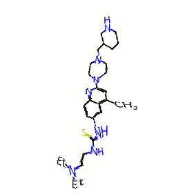 CCN(CC)CCNC(=S)Nc1ccc2nc(N3CCN(CC4CCCNC4)CC3)cc(C)c2c1